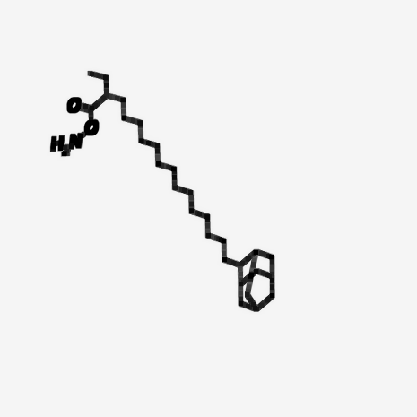 CCC(CCCCCCCCCCCCCCC1C2CC3CC(C2)CC1C3)C(=O)ON